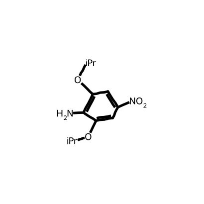 CC(C)Oc1cc([N+](=O)[O-])cc(OC(C)C)c1N